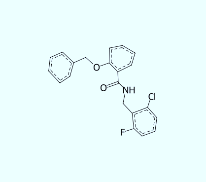 O=C(NCc1c(F)cccc1Cl)c1ccccc1OCc1ccccc1